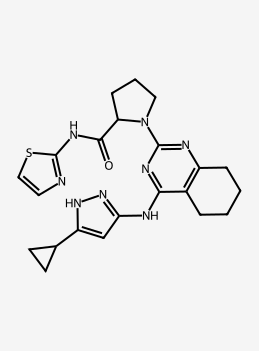 O=C(Nc1nccs1)C1CCCN1c1nc2c(c(Nc3cc(C4CC4)[nH]n3)n1)CCCC2